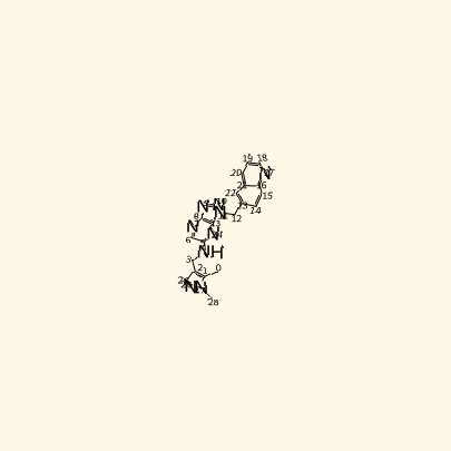 Cc1c(CNc2cnc3nnn(Cc4ccc5ncccc5c4)c3n2)cnn1C